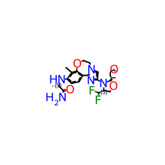 Cc1c(N[C@@H](C)C(N)=O)ccc2c1OCCn1cc(N3C(=C=O)OC[C@H]3C(F)F)nc1-2